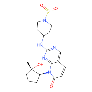 C[C@]1(O)CCC[C@@H]1n1c(=O)ccc2cnc(NC3CCN([SH](=O)=O)CC3)nc21